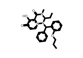 CCCOc1ccccc1C(c1ccccc1)N1C(CC)N(C)C(=O)c2c(O)c(=O)ccn21